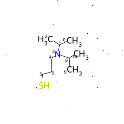 CC(C)N(CCCS)C(C)C